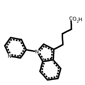 O=C(O)CCCc1cn(-c2cccnc2)c2ccccc12